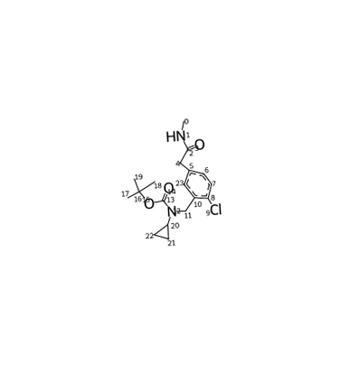 CNC(=O)Cc1ccc(Cl)c(CN(C(=O)OC(C)(C)C)C2CC2)c1